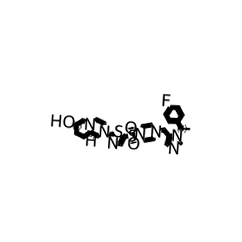 C[C@H](c1ccc(F)cc1)n1cncc1CN1CCN(S(=O)(=O)c2cnc(N3CCN4C[C@H](O)CC[C@H]4C3)s2)CC1